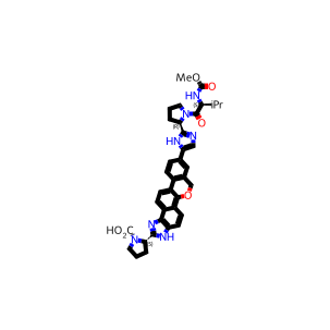 COC(=O)N[C@H](C(=O)N1CCC[C@@H]1c1ncc(-c2ccc3c(c2)COc2c-3ccc3c2ccc2[nH]c([C@@H]4CCCN4C(=O)O)nc23)[nH]1)C(C)C